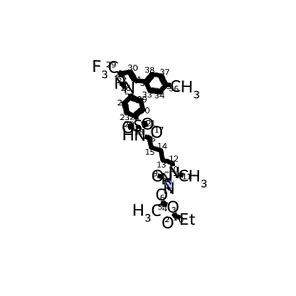 CCC(=O)OC(C)O/N=[N+](\[O-])N(C)CCCCC(=O)NS(=O)(=O)c1ccc(-n2nc(C(F)(F)F)cc2-c2ccc(C)cc2)cc1